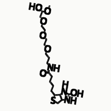 COC(O)COCCOCCOCCCNC(=O)CCCCC1SCC2NC(O)NC21